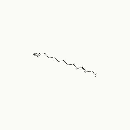 O=C(O)CCCCCCCCC=CCCl